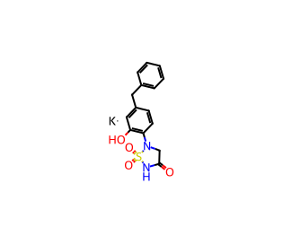 O=C1CN(c2ccc(Cc3ccccc3)cc2O)S(=O)(=O)N1.[K]